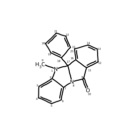 CN1c2ccccc2N2C(=O)c3ccccc3C12c1ccccc1